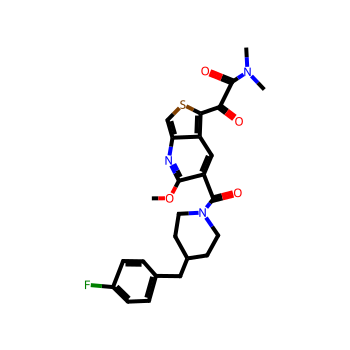 COc1nc2csc(C(=O)C(=O)N(C)C)c2cc1C(=O)N1CCC(Cc2ccc(F)cc2)CC1